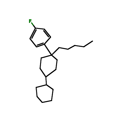 CCCCCC1(c2ccc(F)cc2)CCC(C2CCCCC2)CC1